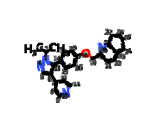 CC(C)n1ncc(-c2ccncc2)c1-c1ccc(OCc2ccc3ccccc3n2)cc1